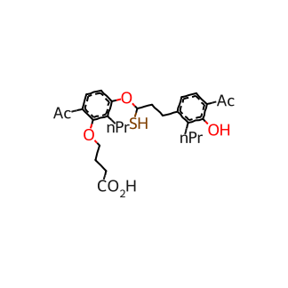 CCCc1c(CCC(S)Oc2ccc(C(C)=O)c(OCCCC(=O)O)c2CCC)ccc(C(C)=O)c1O